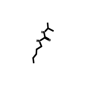 CCCCCNC(=O)NC(C)C